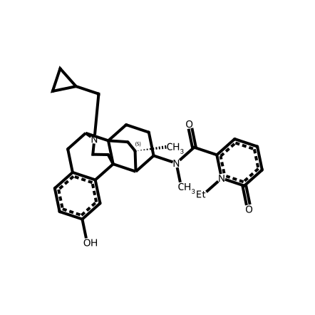 CCn1c(C(=O)N(C)C2CCC34C[C@H](C)C2C32CCN(CC3CC3)C4Cc3ccc(O)cc32)cccc1=O